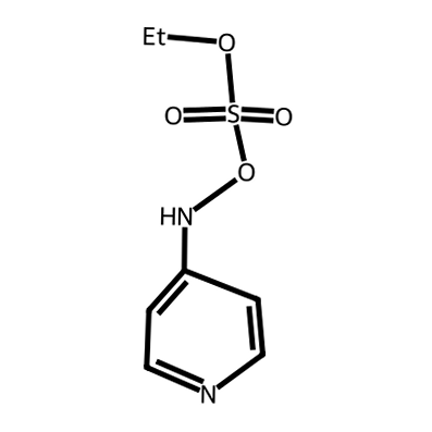 CCOS(=O)(=O)ONc1ccncc1